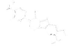 COC(=O)c1cnc(N2CCn3c(cc4cc(CO)c(S(C)(=O)=O)cc43)C2C(C)C)nc1C(F)(F)F